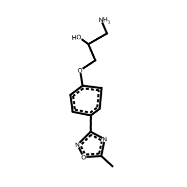 Cc1nc(-c2ccc(OCC(O)CN)cc2)no1